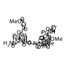 CC[C@H](C)[C@@H]([C@@H](CC(=O)N1CCC[C@H]1[C@H](OC)[C@@H](C)C(=O)N[C@@H](Cc1ccccc1)C(=O)N(C)Cc1ccc(NC(=O)[C@H](CCCNC(N)=O)NC(=O)[C@@H](NC(=O)CCC(=O)N2CCC(C)(C(=O)OC)CC2)C(C)C)cc1)OC)N(C)C(=O)[C@@H](NC(=O)[C@H](C(C)C)N(C)C)C(C)C